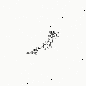 CNC(=O)NC(C)(C)C#Cc1ccc([C@H](C)N2CCC(CC(C)(C)O)(c3ccccc3)OC2=O)cc1